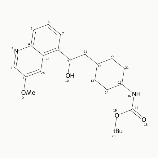 COc1cnc2cccc(C(O)CC3CCC(NC(=O)OC(C)(C)C)CC3)c2c1